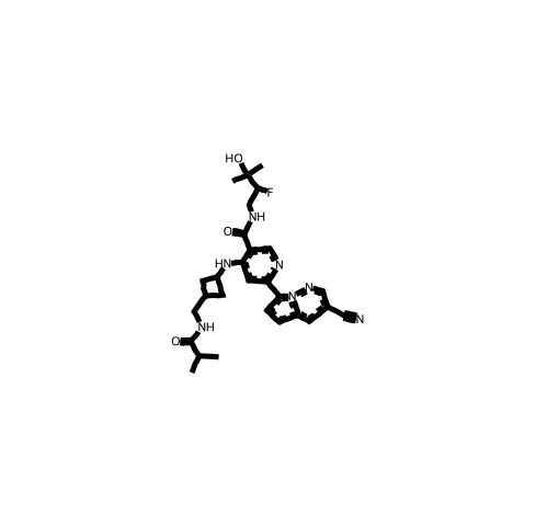 CC(C)C(=O)NCC1CC(Nc2cc(-c3ccc4cc(C#N)cnn34)ncc2C(=O)NCC(F)C(C)(C)O)C1